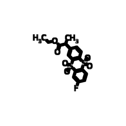 CCOC(=O)C(C)c1ccc2c(c1)S(=O)(=O)c1cc(F)ccc1S2(=O)=O